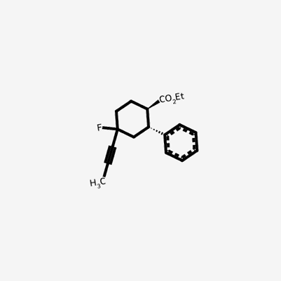 CC#CC1(F)CC[C@@H](C(=O)OCC)[C@H](c2ccccc2)C1